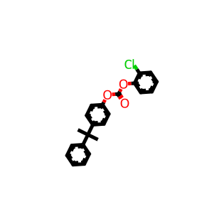 CC(C)(c1ccccc1)c1ccc(OC(=O)Oc2ccccc2Cl)cc1